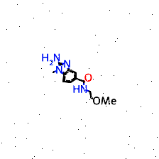 COCCNC(=O)c1ccc2c(c1)nc(N)n2C